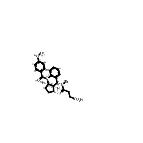 CCN(C(=O)CCC(=O)O)[C@H]1c2ccccc2N(C(=O)c2ccc(OC(F)(F)F)cc2)[C@@H]2CCC[C@@H]21